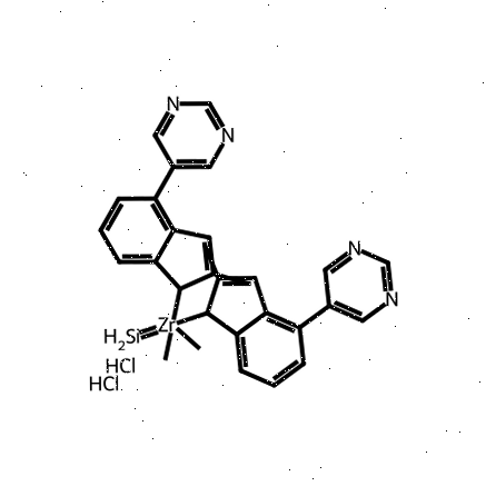 CC1=Cc2c(-c3cncnc3)cccc2[CH]1[Zr]([CH3])([CH3])(=[SiH2])[CH]1C(C)=Cc2c(-c3cncnc3)cccc21.Cl.Cl